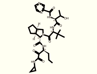 CCC[C@H](NC(=O)[C@@H]1[C@H]2CCC[C@H]2CN1C(=O)[C@@H](NC(=O)[C@@H](NC(=O)c1cnccn1)C(C)O)C(C)(C)C)C(=O)C(=O)NC1CC1